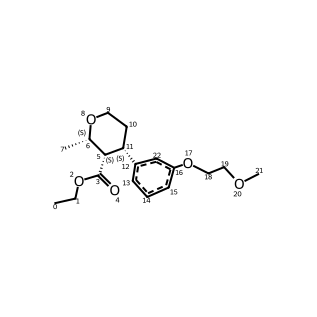 CCOC(=O)[C@@H]1[C@H](C)OCC[C@@H]1c1cccc(OCCOC)c1